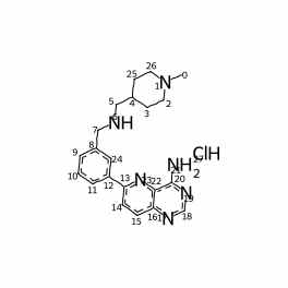 CN1CCC(CNCc2cccc(-c3ccc4ncnc(N)c4n3)c2)CC1.Cl